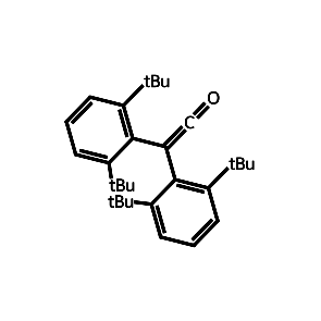 CC(C)(C)c1cccc(C(C)(C)C)c1C(=C=O)c1c(C(C)(C)C)cccc1C(C)(C)C